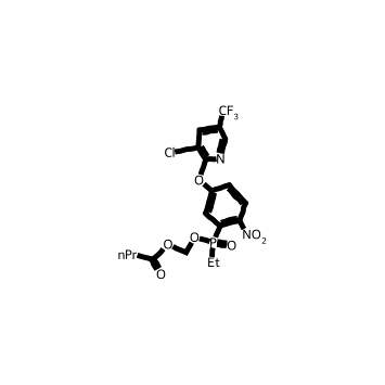 CCCC(=O)OCOP(=O)(CC)c1cc(Oc2ncc(C(F)(F)F)cc2Cl)ccc1[N+](=O)[O-]